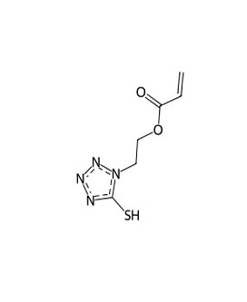 C=CC(=O)OCCn1nnnc1S